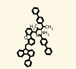 C=C(CC(C)c1ccc(-c2ccccc2)cc1)C(/N=C(\N)c1ccc(-c2ccccc2)cc1)c1cccc2oc3c(CC4c5ccccc5-c5c(-c6ccccc6)cccc54)cccc3c12